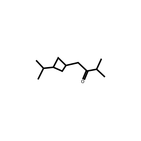 CC(C)C(=O)CC1CC(C(C)C)C1